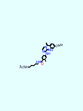 C=C(c1ccc(OC)cc1)n1ccnc(Nc2ccc(C(=O)NCCCCCNC(C)=O)c(C)c2)c1=N